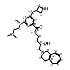 CN(C)CCN(C)c1nc(NC2CNC2)cc(C(=O)NCC[C@H](O)CN2CCC3=C(C=CC=CC3)C2)n1